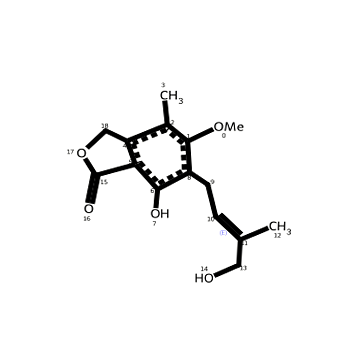 COc1c(C)c2c(c(O)c1C/C=C(\C)CO)C(=O)OC2